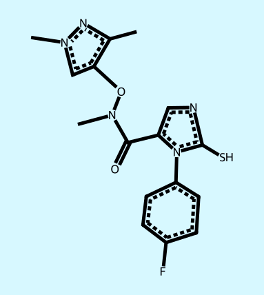 Cc1nn(C)cc1ON(C)C(=O)c1cnc(S)n1-c1ccc(F)cc1